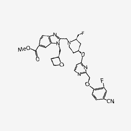 COC(=O)c1ccc2nc(CN3CC[C@H](Oc4ccnc(COc5ccc(C#N)cc5F)n4)C[C@@H]3CF)n(C[C@@H]3CCO3)c2c1